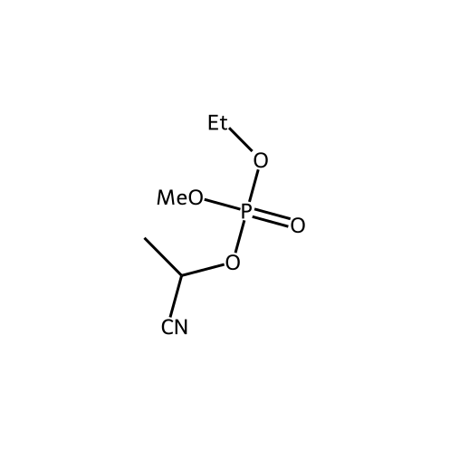 CCOP(=O)(OC)OC(C)C#N